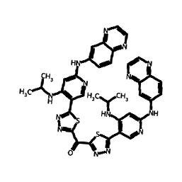 CC(C)Nc1cc(Nc2ccc3nccnc3c2)ncc1-c1nnc(C(=O)c2nnc(-c3cnc(Nc4ccc5nccnc5c4)cc3NC(C)C)s2)s1